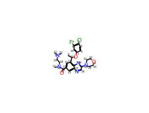 CC(Oc1ccc(Cl)c(F)c1)c1cc(C(=O)N(C)CCN(C)C)cc2ncc(N3CCOCC3)nc12